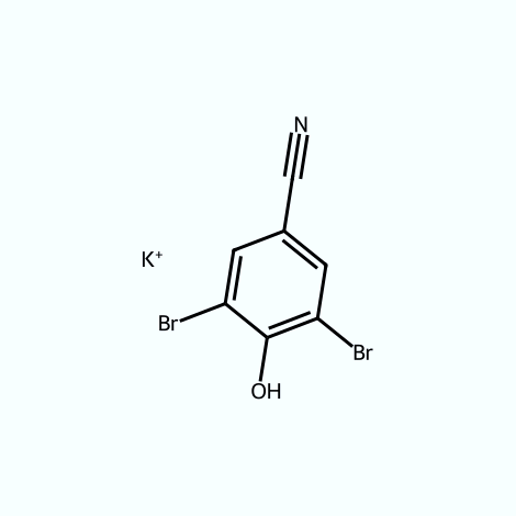 N#Cc1cc(Br)c(O)c(Br)c1.[K+]